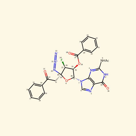 CC(=O)Nc1nc2c(ncn2[C@@H]2O[C@@](CC(=O)c3ccccc3)(N=[N+]=[N-])[C@@H](F)[C@H]2OC(=O)c2ccccc2)c(=O)[nH]1